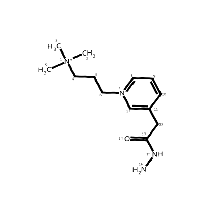 C[N+](C)(C)CCC[n+]1cccc(CC(=O)NN)c1